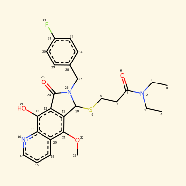 CCN(CC)C(=O)CCSC1c2c(c(O)c3ncccc3c2OC)C(=O)N1Cc1ccc(F)cc1